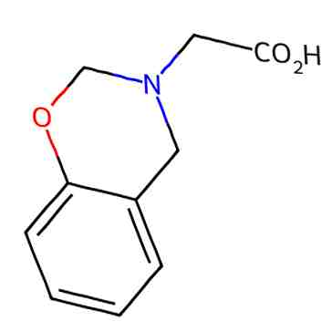 O=C(O)CN1COc2ccccc2C1